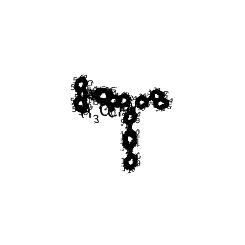 CC1(C)c2cc(N(c3ccc(-c4ccc(-c5ccccc5)cc4)cc3)c3ccc(-c4cccc5ccccc45)cc3)ccc2-c2ccc(-n3c4ccccc4c4ccccc43)cc21